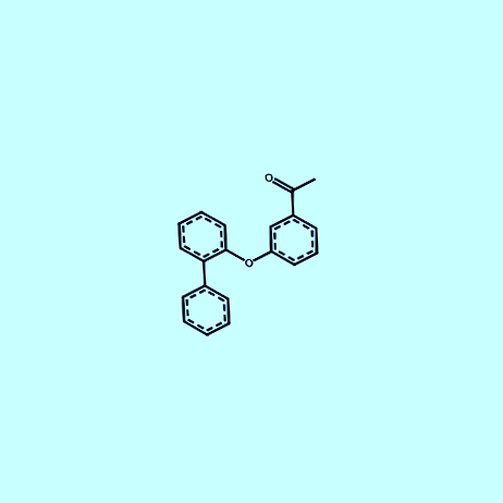 CC(=O)c1cccc(Oc2ccccc2-c2ccccc2)c1